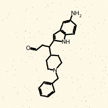 Nc1ccc2[nH]c(C(CC=O)C3CCN(Cc4ccccc4)CC3)cc2c1